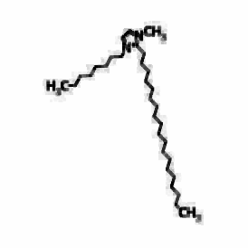 CCCCCCCCCCCCCCCCCCCc1n(C)cc[n+]1CCCCCCCC